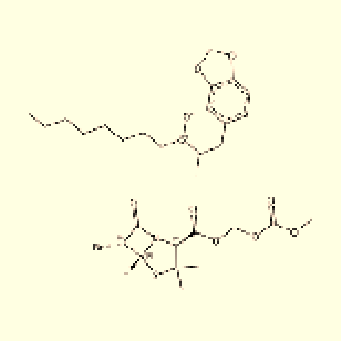 CCCCCCCC[S+]([O-])C(C)Cc1ccc2c(c1)OCO2.COC(=O)OCOC(=O)[C@@H]1N2C(=O)[C@@H](Br)[C@H]2SC1(C)C